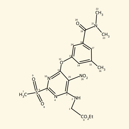 CCOC(=O)CNc1nc(S(C)(=O)=O)nc(Oc2cc(C)cc(C(=O)N(C)C)c2)c1[N+](=O)[O-]